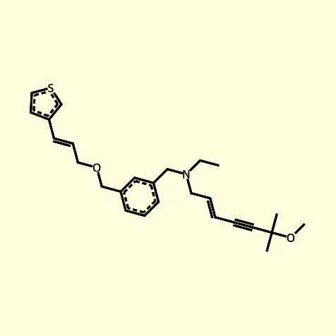 CCN(C/C=C/C#CC(C)(C)OC)Cc1cccc(COC/C=C/c2ccsc2)c1